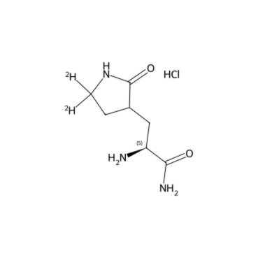 Cl.[2H]C1([2H])CC(C[C@H](N)C(N)=O)C(=O)N1